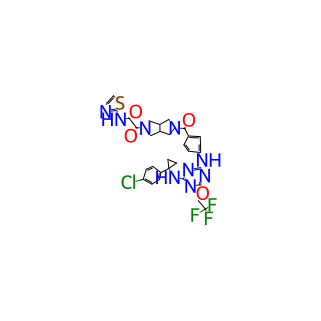 O=C(Nc1nccs1)C(=O)N1CC2CN(C(=O)c3ccc(Nc4nc(NC5(c6ccc(Cl)cc6)CC5)nc(OCC(F)(F)F)n4)cc3)CC2C1